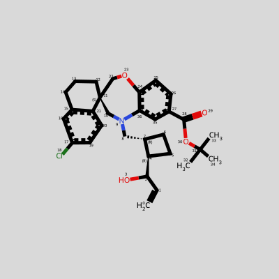 C=CC(O)[C@@H]1CC[C@H]1CN1C[C@@]2(CCCc3cc(Cl)ccc32)COc2ccc(C(=O)OC(C)(C)C)cc21